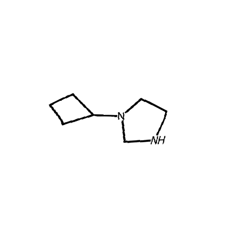 C1CC(N2CCNC2)C1